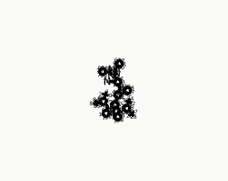 CC(C)(C)c1cc(N2c3ccccc3B3c4ccccc4N(c4cc(C(C)(C)C)cc(C(C)(C)C)c4)c4cc(-c5ccc6c(c5)c5ccccc5n6-c5ccc(-c6nc(-c7ccccc7)nc(-c7ccccc7)n6)c(C#N)c5)cc2c43)cc(C(C)(C)C)c1